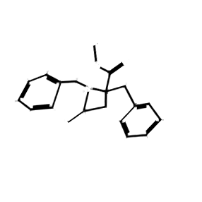 COC(=O)C1(Cc2ccccc2)CC(C)N1Cc1ccccc1